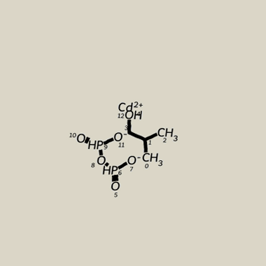 CC(C)CO.O=[PH]([O-])O[PH](=O)[O-].[Cd+2]